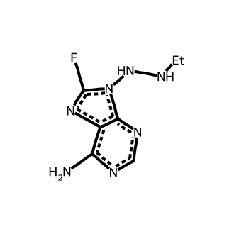 CCNNn1c(F)nc2c(N)ncnc21